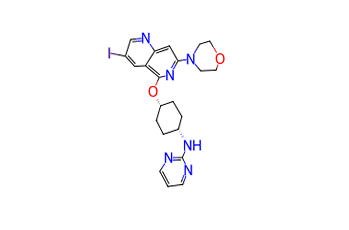 Ic1cnc2cc(N3CCOCC3)nc(O[C@H]3CC[C@@H](Nc4ncccn4)CC3)c2c1